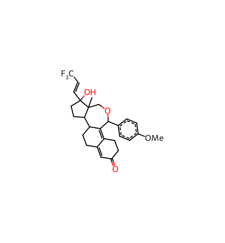 COc1ccc(C2OCC3(C)C(CCC3(O)C=CC(F)(F)F)C3CCC4=CC(=O)CCC4=C23)cc1